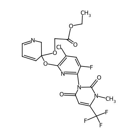 CCOC(=O)COC1(Oc2nc(-n3c(=O)cc(C(F)(F)F)n(C)c3=O)c(F)cc2Cl)C=CC=NC1